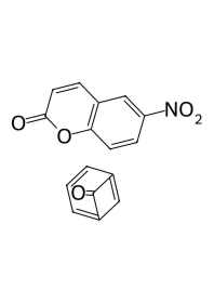 O=C1c2cccc1c2.O=c1ccc2cc([N+](=O)[O-])ccc2o1